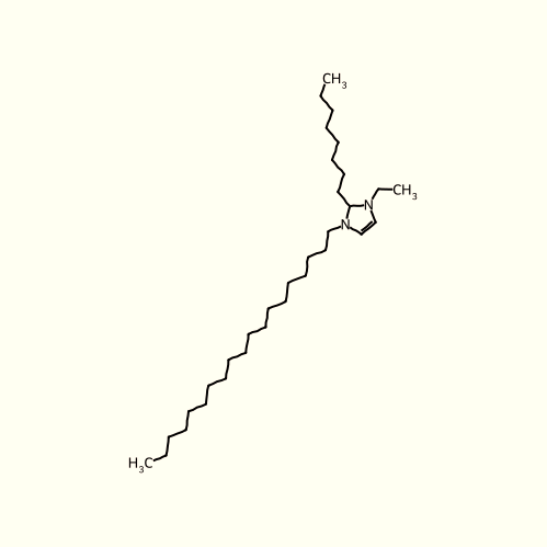 CCCCCCCCCCCCCCCCCCCN1C=CN(CC)C1CCCCCCCC